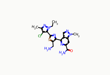 CCn1nc(C)c(Cl)c1-c1nc(-c2nc(C(N)=O)cc3c2cnn3C)c(CN)s1